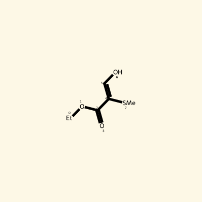 CCOC(=O)C(=CO)SC